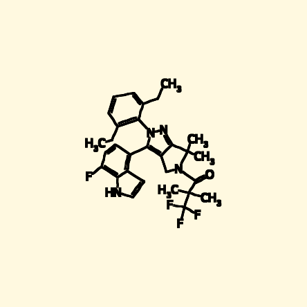 CCc1cccc(CC)c1-n1nc2c(c1-c1ccc(F)c3[nH]ccc13)CN(C(=O)C(C)(C)C(F)(F)F)C2(C)C